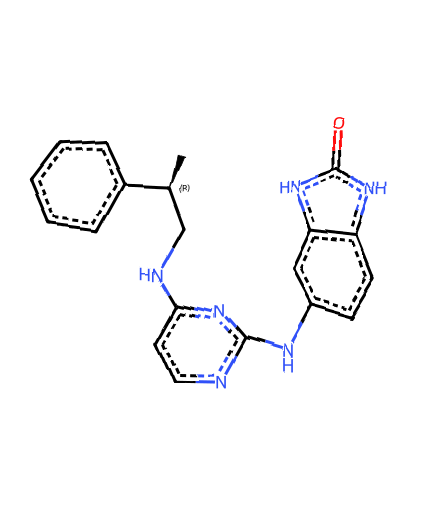 C[C@@H](CNc1ccnc(Nc2ccc3[nH]c(=O)[nH]c3c2)n1)c1ccccc1